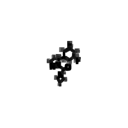 O=C(N1CCC1)N1N=CC[C@H]1c1cc(F)cc(F)c1